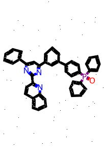 O=P(c1ccccc1)(c1ccccc1)c1ccc(-c2cccc(-c3cc(-c4ccccc4)nc(-c4ccc5ccccc5n4)n3)c2)cc1